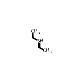 CC=[SH]CC